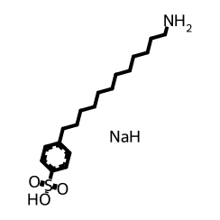 NCCCCCCCCCCCCc1ccc(S(=O)(=O)O)cc1.[NaH]